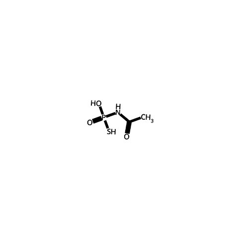 CC(=O)NP(=O)(O)S